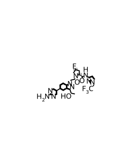 CC(O)c1nn(CC(=O)N2C[C@H](F)C[C@H]2C(=O)Nc2ccn(CC(F)(F)F)n2)c2ccc(-c3cnc(N)nc3)cc12